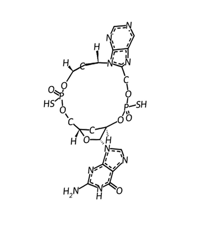 Nc1nc2c(ncn2[C@@H]2O[C@@H]3COP(=O)(S)O[C@H]4C[C@H](C4)n4c(nc5cncnc54)COP(=O)(S)O[C@@H]2C3)c(=O)[nH]1